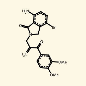 C=C(CN1Cc2c(Br)ccc(N)c2C1=O)C(=O)c1ccc(OC)c(OC)c1